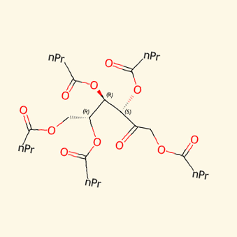 CCCC(=O)OCC(=O)[C@@H](OC(=O)CCC)[C@H](OC(=O)CCC)[C@@H](COC(=O)CCC)OC(=O)CCC